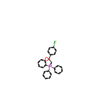 O=C(C=P(c1ccccc1)(c1ccccc1)c1ccccc1)c1ccc(F)cc1